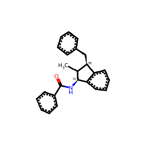 CC1[C@H](NC(=O)c2ccccc2)c2ccccc2[C@@H]1Cc1ccccc1